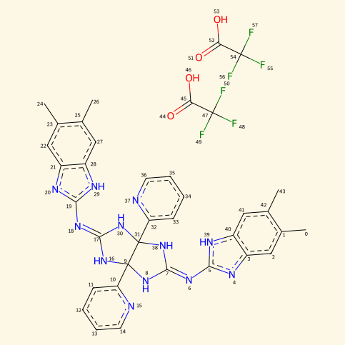 Cc1cc2nc(N=C3NC4(c5ccccn5)NC(=Nc5nc6cc(C)c(C)cc6[nH]5)NC4(c4ccccn4)N3)[nH]c2cc1C.O=C(O)C(F)(F)F.O=C(O)C(F)(F)F